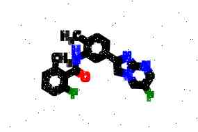 Cc1ccc(-c2cn3cc(F)cnc3n2)cc1NC(=O)c1c(C)cccc1F